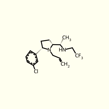 C=CCN1[C@@H]([C@H](C)NCC(F)(F)F)CC[C@H]1c1cccc(Cl)c1